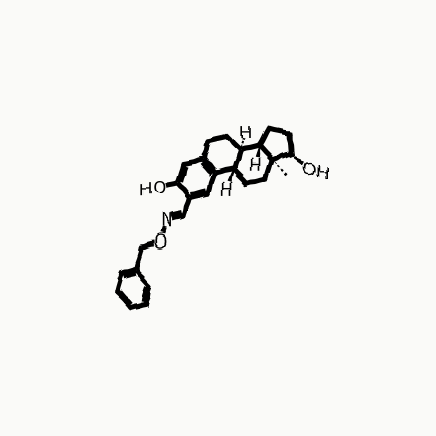 C[C@]12CC[C@@H]3c4cc(C=NOCc5ccccc5)c(O)cc4CC[C@H]3[C@@H]1CC[C@H]2O